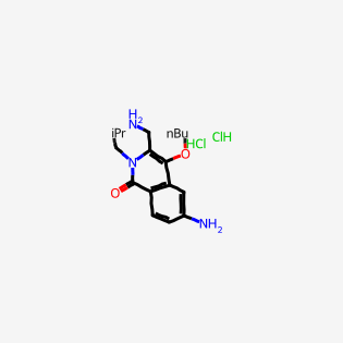 CCCCOc1c(CN)n(CC(C)C)c(=O)c2ccc(N)cc12.Cl.Cl